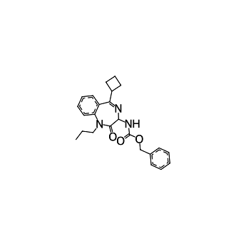 CCCN1C(=O)C(NC(=O)OCc2ccccc2)N=C(C2CCC2)c2ccccc21